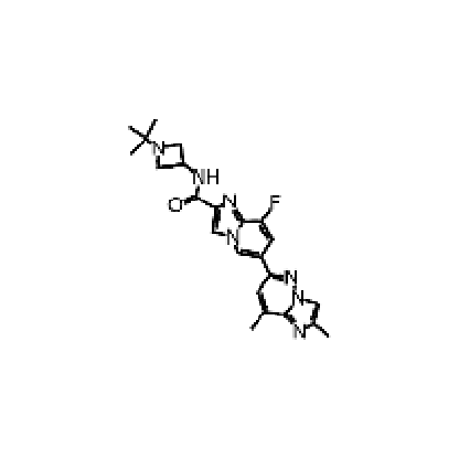 Cc1cn2nc(-c3cc(F)c4nc(C(=O)NC5CN(C(C)(C)C)C5)cn4c3)cc(C)c2n1